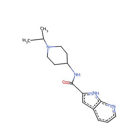 CC(C)N1CCC(NC(=O)c2cc3cccnc3[nH]2)CC1